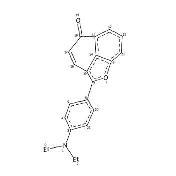 CCN(CC)c1ccc(-c2oc3cccc4c3c2C=CC4=O)cc1